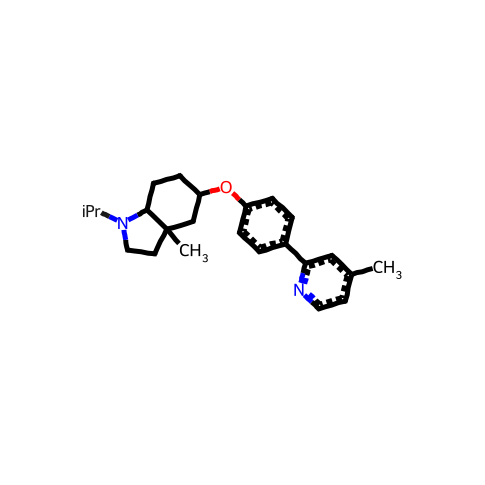 Cc1ccnc(-c2ccc(OC3CCC4N(C(C)C)CCC4(C)C3)cc2)c1